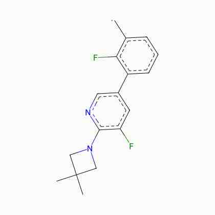 [CH2]c1cccc(-c2cnc(N3CC(C)(C)C3)c(F)c2)c1F